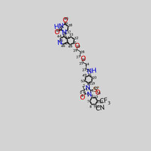 CC1(C)C(=O)N(c2ccc(C#N)c(C(F)(F)F)c2)C([S+]=O)N1c1ccc(NCCCOCCCOc2ccc3c(-n4ccc(=O)[nH]c4=O)cncc3c2)cc1